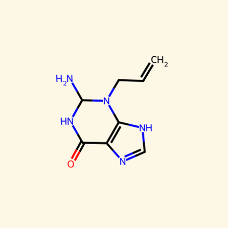 C=CCN1c2[nH]cnc2C(=O)NC1N